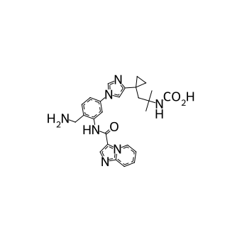 CC(C)(CC1(c2cn(-c3ccc(CN)c(NC(=O)c4cnc5ccccn45)c3)cn2)CC1)NC(=O)O